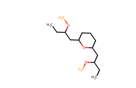 CCC(CC1CCCC(CC(CC)OP)O1)OP